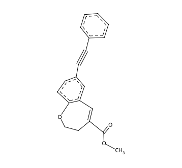 COC(=O)C1=Cc2cc(C#Cc3ccccc3)ccc2OCC1